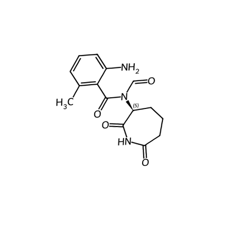 Cc1cccc(N)c1C(=O)N(C=O)[C@H]1CCCC(=O)NC1=O